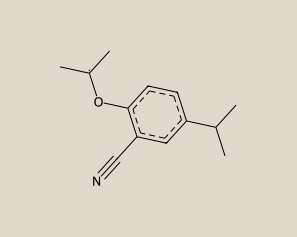 C[C](C)Oc1ccc(C(C)C)cc1C#N